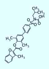 Cc1cc(-c2ccc(S(=O)(=O)N(CC(C)C)C(=O)O)cc2)cc(C)c1OC(=O)c1oc2ccccc2c1C